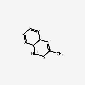 CC1=NC2C=CC=CC2NC1